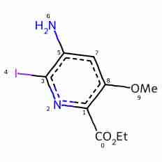 CCOC(=O)c1nc(I)c(N)cc1OC